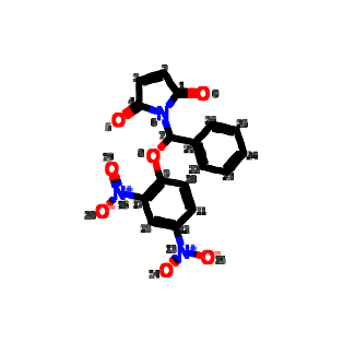 O=C1C=CC(=O)N1C(Oc1ccc([N+](=O)[O-])cc1[N+](=O)[O-])c1ccccc1